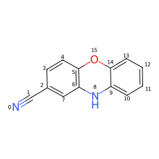 N#Cc1ccc2c(c1)Nc1ccccc1O2